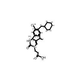 CC(C)C1=CN(CCC(=O)O)C(=O)N[C@@]1(C)c1ccc(CC2CCCCC2)c(Cl)c1